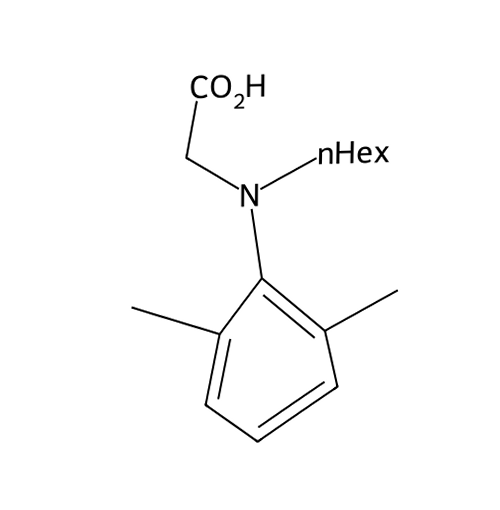 CCCCCCN(CC(=O)O)c1c(C)cccc1C